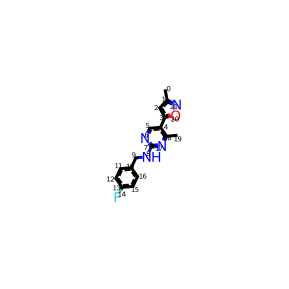 Cc1cc(-c2cnc(NCc3ccc(F)cc3)nc2C)on1